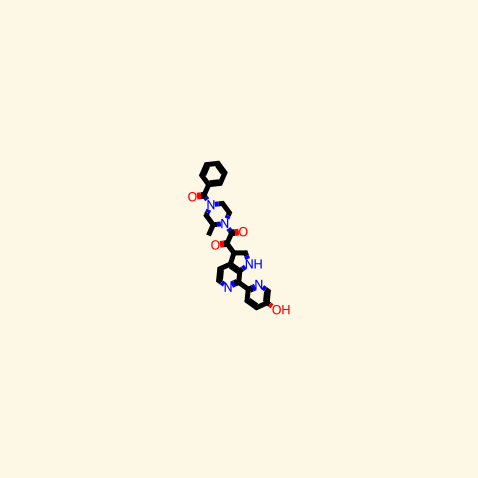 CC1CN(C(=O)c2ccccc2)CCN1C(=O)C(=O)C1CNc2c1ccnc2-c1ccc(O)cn1